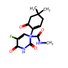 CNC(=O)[N+]1(C2=CCC(C)(C)CC2=O)C=C(F)C(=O)NC1=O